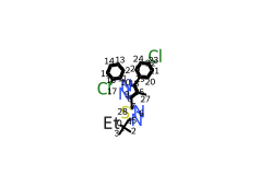 CCC(C)(C)c1nnc(-c2nn(-c3ccccc3Cl)c(-c3ccc(Cl)cc3)c2C)s1